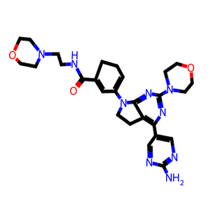 Nc1ncc(-c2nc(N3CCOCC3)nc3c2CCN3C2=CCCC(C(=O)NCCN3CCOCC3)=C2)cn1